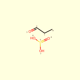 CCC=O.O=S(O)O